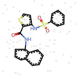 O=C(Nc1cccc2ccccc12)c1sccc1NS(=O)(=O)c1ccccc1